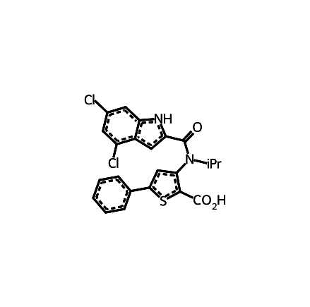 CC(C)N(C(=O)c1cc2c(Cl)cc(Cl)cc2[nH]1)c1cc(-c2ccccc2)sc1C(=O)O